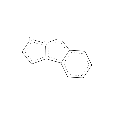 c1ccc2c(c1)sn1nccc21